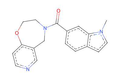 Cn1ccc2ccc(C(=O)N3CCOc4ccncc4C3)cc21